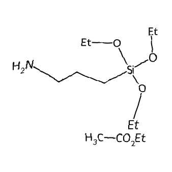 CCOC(C)=O.CCO[Si](CCCN)(OCC)OCC